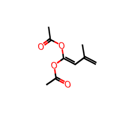 C=C(C)C=C(OC(C)=O)OC(C)=O